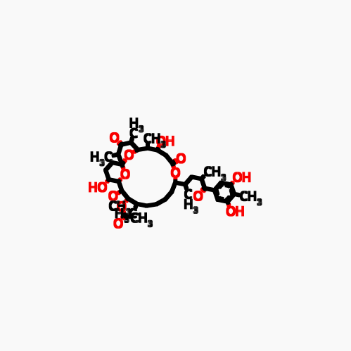 COC1C(OC(C)=O)C(C)CCCCC(C(C)CC(C)C(=O)c2cc(O)c(C)c(O)c2)OC(=O)CC(O)C(C)C2OC3(CCC(O)C1O3)C(C)C(=O)C2C